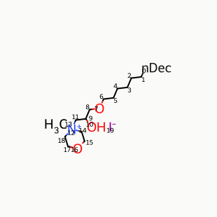 CCCCCCCCCCCCCCCCOCC(O)C[N+]1(C)CCOCC1.[I-]